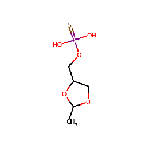 CC1OCC(COP(O)(O)=S)O1